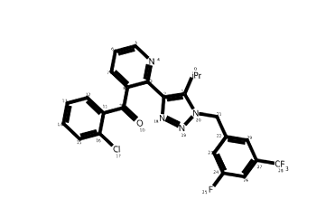 CC(C)c1c(-c2ncccc2C(=O)c2ccccc2Cl)nnn1Cc1cc(F)cc(C(F)(F)F)c1